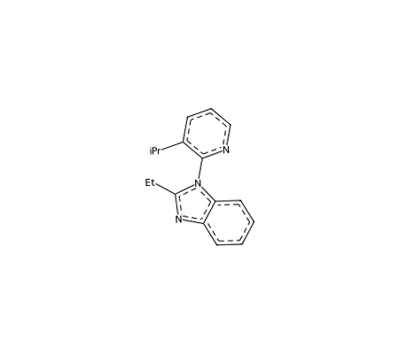 CCc1nc2ccccc2n1-c1ncccc1C(C)C